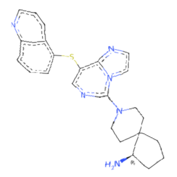 N[C@@H]1CCCC12CCN(c1ncc(Sc3cccc4ncccc34)c3nccn13)CC2